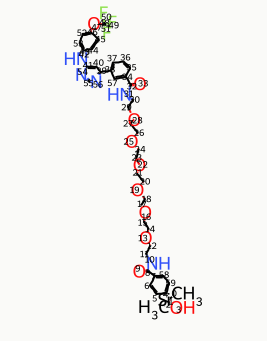 C[Si](C)(O)c1ccc(C(=O)NCCOCCOCCOCCOCCOCCOCCNC(=O)c2cccc(-c3cc(Nc4ccc(OC(F)(F)F)cc4)ncn3)c2)cc1